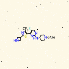 CSN1CCC(Nc2ncc(F)c(-c3sc(C4CNC4)nc3C(F)(F)F)n2)CC1